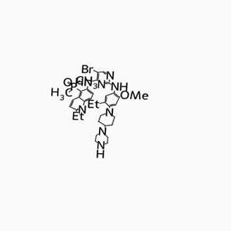 CCc1ccc2c(P(C)(C)=O)c(Nc3nc(Nc4cc(CC)c(N5CCC(N6CCNCC6)CC5)cc4OC)ncc3Br)ccc2n1